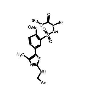 CCN(NS(=O)(=O)c1cc(-c2sc(NCC(C)=O)nc2C)ccc1OC)C(=O)OC(C)(C)C